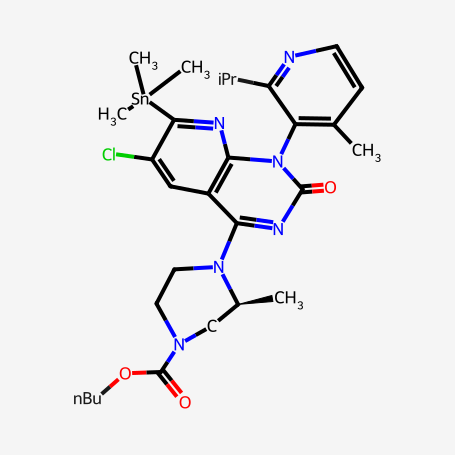 CCCCOC(=O)N1CCN(c2nc(=O)n(-c3c(C)ccnc3C(C)C)c3n[c]([Sn]([CH3])([CH3])[CH3])c(Cl)cc23)[C@@H](C)C1